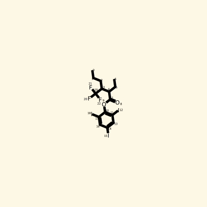 CCCC(C(CC)C(=O)Oc1c(I)cc(I)cc1I)C(F)(F)F